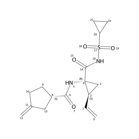 C=C[C@@H]1C[C@]1(NC(=O)[C@H]1CCC(=C)C1)C(=O)NS(=O)(=O)C1CC1